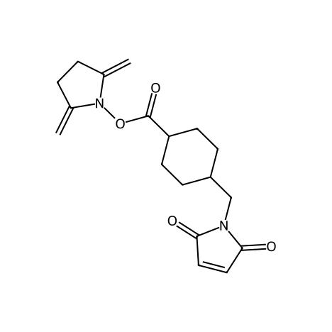 C=C1CCC(=C)N1OC(=O)C1CCC(CN2C(=O)C=CC2=O)CC1